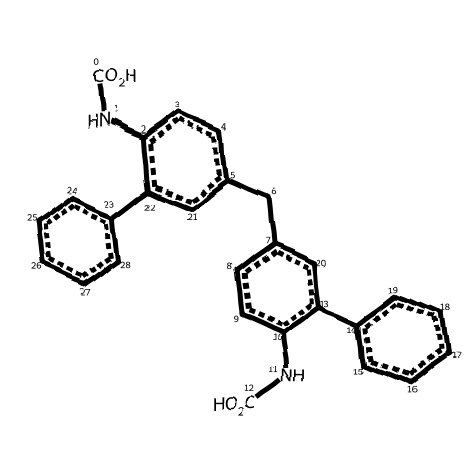 O=C(O)Nc1ccc(Cc2ccc(NC(=O)O)c(-c3ccccc3)c2)cc1-c1ccccc1